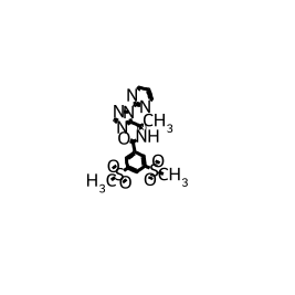 C[C@@H](NC(=O)c1cc(S(C)(=O)=O)cc(S(C)(=O)=O)c1)c1ncnn1-c1ncccn1